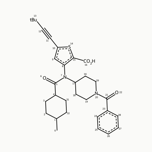 CC1CCC(C(=O)N(c2cc(C#CC(C)(C)C)sc2C(=O)O)C2CCN(C(=O)c3ccccc3)CC2)CC1